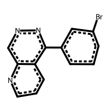 Brc1cccc(-c2nncc3ncccc23)c1